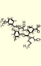 CCCN(CCC)C(=O)c1cc(C(N)=O)cnc1[C@H](Cc1cc(F)cc(F)c1)[C@@H](O)CNCc1cccc(C(C)C)c1